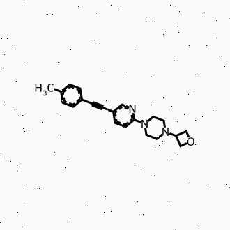 Cc1ccc(C#Cc2ccc(N3CCN(C4COC4)CC3)nc2)cc1